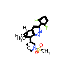 CC1(C)[C@H]2CC[C@]1([C@H]1CCCN(S(C)(=O)=O)C1)c1nnc(-c3c(F)cccc3F)cc12